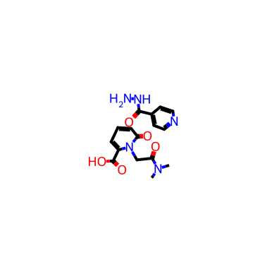 CN(C)C(=O)Cn1c(C(=O)O)cccc1=O.NNC(=O)c1ccncc1